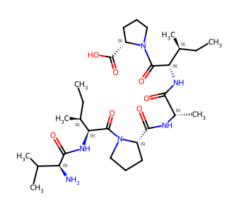 CC[C@H](C)[C@H](NC(=O)[C@H](C)NC(=O)[C@@H]1CCCN1C(=O)[C@@H](NC(=O)[C@@H](N)C(C)C)[C@@H](C)CC)C(=O)N1CCC[C@H]1C(=O)O